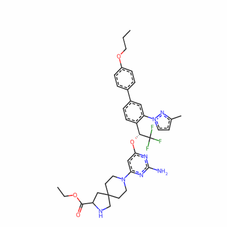 CCCOc1ccc(-c2ccc([C@@H](Oc3cc(N4CCC5(CC4)CNC(C(=O)OCC)C5)nc(N)n3)C(F)(F)F)c(-n3ccc(C)n3)c2)cc1